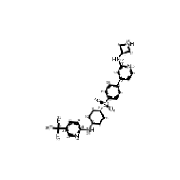 O=S(=O)(c1ccc(-c2ccnc(NC3CNC3)c2)cc1)[C@H]1CC[C@H](Nc2ccc(C(F)(F)F)cn2)CC1